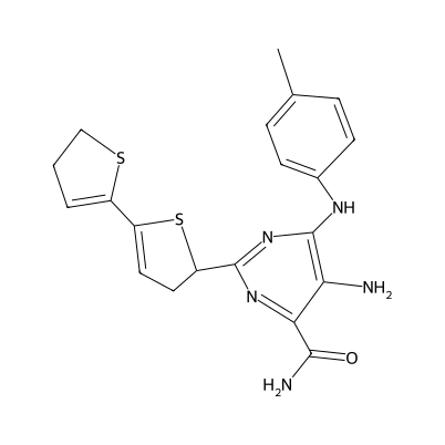 Cc1ccc(Nc2nc(C3CC=C(C4=CCCS4)S3)nc(C(N)=O)c2N)cc1